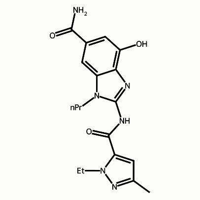 CCCn1c(NC(=O)c2cc(C)nn2CC)nc2c(O)cc(C(N)=O)cc21